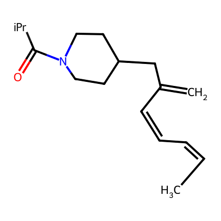 C=C(/C=C\C=C/C)CC1CCN(C(=O)C(C)C)CC1